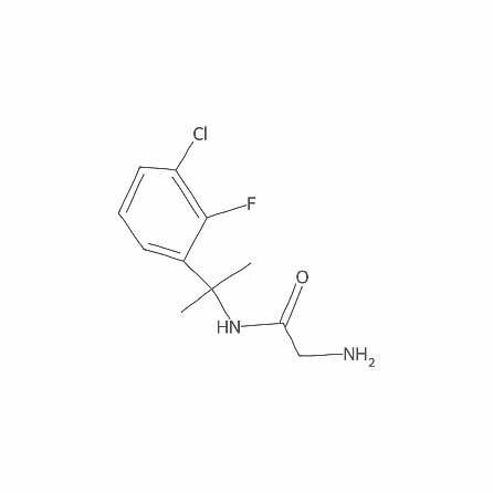 CC(C)(NC(=O)CN)c1cccc(Cl)c1F